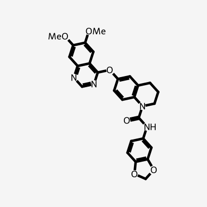 COc1cc2ncnc(Oc3ccc4c(c3)CCCN4C(=O)Nc3ccc4c(c3)OCO4)c2cc1OC